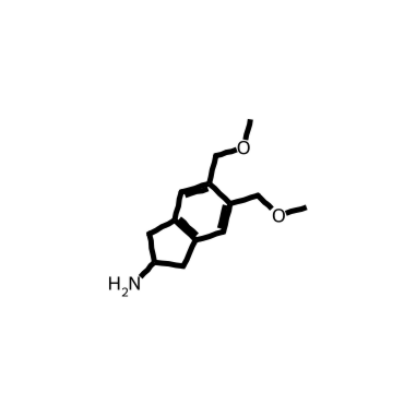 COCc1cc2c(cc1COC)CC(N)C2